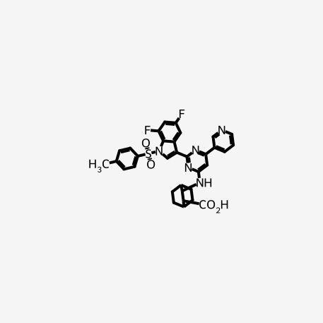 Cc1ccc(S(=O)(=O)n2cc(-c3nc(NC4C5CCC(CC5)C4C(=O)O)cc(-c4cccnc4)n3)c3cc(F)cc(F)c32)cc1